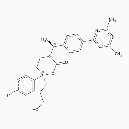 Cc1cc(-c2ccc([C@H](C)N3CC[C@](CCCO)(c4ccc(F)cc4)OC3=O)cc2)nc(C)n1